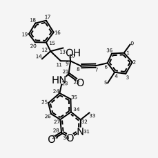 Cc1ccc(C)c(C#CC(O)(CC(C)(C)c2ccccc2)C(=O)Nc2ccc3c(=O)onc(C)c3c2)c1